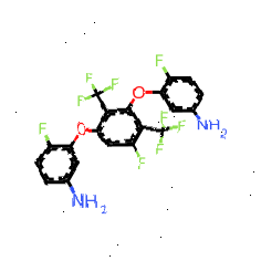 Nc1ccc(F)c(Oc2cc(F)c(C(F)(F)F)c(Oc3cc(N)ccc3F)c2C(F)(F)F)c1